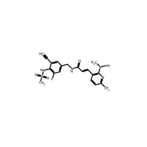 C#Cc1cc(CNC(=O)/C=C/c2ccc(C(F)(F)F)nc2N(C)CCC)cc(F)c1NS(C)(=O)=O